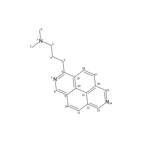 CN(C)CCCc1ncc2ccc3cncc4ccc1c2c34